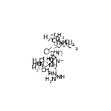 CC(C)C[C@@H](/C=C/[C@H](Cc1ccccc1)C(=O)N1CCC[C@H]1C(=O)N[C@@H](CCCNC(=N)N)C(=O)NC1CC(C)(C)N(O)C(C)(C)C1)NC(=O)OC(C)(C)C